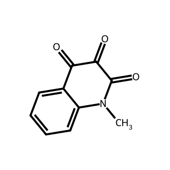 CN1C(=O)C(=O)C(=O)c2ccccc21